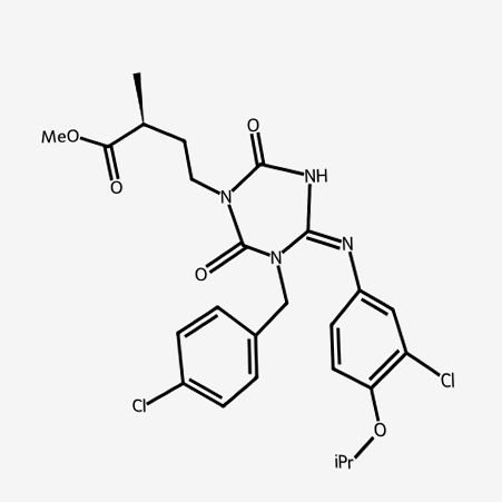 COC(=O)[C@@H](C)CCn1c(=O)[nH]/c(=N/c2ccc(OC(C)C)c(Cl)c2)n(Cc2ccc(Cl)cc2)c1=O